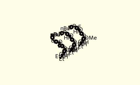 CCCCN1CCC(Oc2ccc(C(=O)N3CCc4cc(Oc5ccc(NC(=O)NC(CC)CC)cc5OC)ccc43)cc2)CC1.CCCCN1CCC(Oc2ccc(C(=O)Nc3ccc(Oc4ccc(NC(=O)NC(CC)CC)cc4)cc3)cc2)CC1.CCCCN1CCC(Oc2ccc(C(=O)Nc3ccc(Oc4ccc(NC(=O)NC(CC)CC)cc4OC)cc3)c(F)c2)CC1